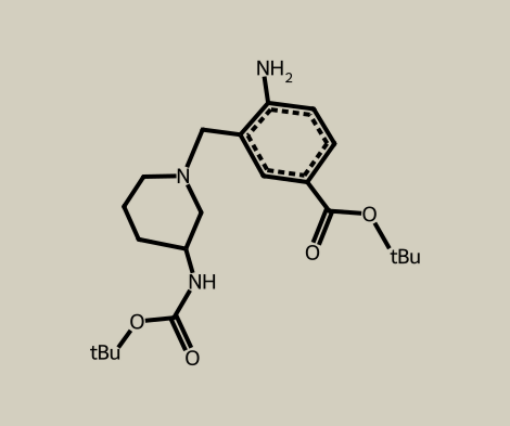 CC(C)(C)OC(=O)NC1CCCN(Cc2cc(C(=O)OC(C)(C)C)ccc2N)C1